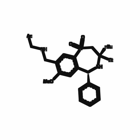 CCCC[C@]1(CC)CS(=O)(=O)c2cc(CNCC(C)=O)c(OC)cc2[C@@H](c2ccccc2)N1